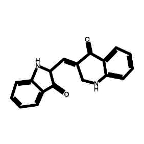 O=C1/C(=C/C2Nc3ccccc3C2=O)CNc2ccccc21